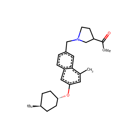 COC(=O)C1CCN(Cc2ccc3cc(O[C@H]4CC[C@H](C(C)(C)C)CC4)cc(C)c3c2)C1